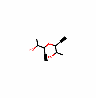 C#CC(OC(C#C)C(C)O)C(C)O